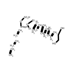 C=C.C=C.C=C.C=C.C=C.C=C.C=C.C=C.C=C.CCCCCCCOS(=O)(=O)O.CCOCC.OCCO